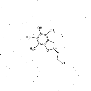 Cc1c(C)c2c(c(C)c1O)C[C@@H](CCS)O2